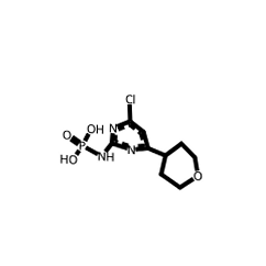 O=P(O)(O)Nc1nc(Cl)cc(C2CCOCC2)n1